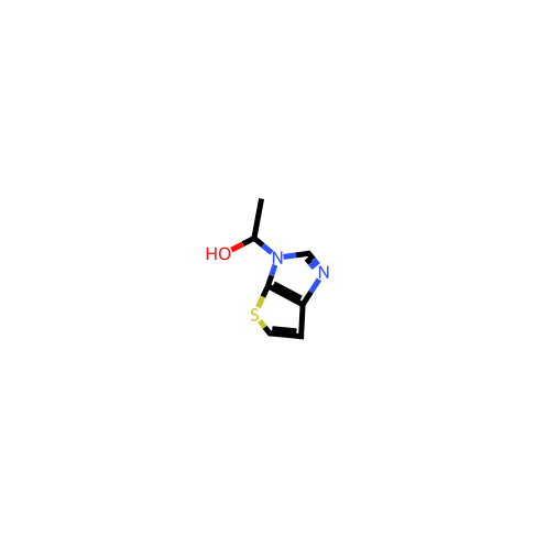 CC(O)n1cnc2ccsc21